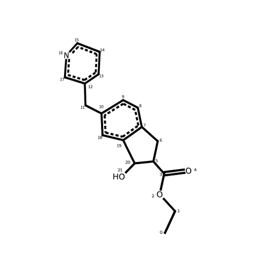 CCOC(=O)C1Cc2ccc(Cc3cccnc3)cc2C1O